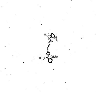 C=C/C(CCCCC[C@@H]1CCN(C(C(=O)O)c2ccccc2OC)C1)=N\C1=C(C)CCCN1